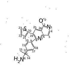 COc1nccc2nc(-c3ccc(C(C)(C)N)cc3)c(-c3cccs3)cc12